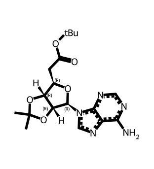 CC(C)(C)OC(=O)C[C@H]1O[C@@H](n2cnc3c(N)ncnc32)[C@@H]2OC(C)(C)O[C@@H]21